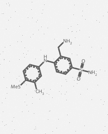 CSc1ccc(Nc2ccc(S(N)(=O)=O)cc2CN)cc1C